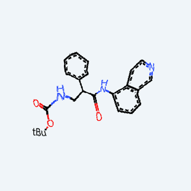 CC(C)(C)OC(=O)NCC(C(=O)Nc1cccc2cnccc12)c1ccccc1